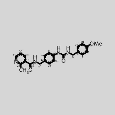 COc1ccc(CNC(=O)Nc2ccc(CNC(=O)c3cccnc3C)cc2)cc1